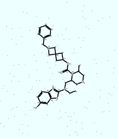 CCN(CC1COCC(C)N1C(=O)OC1CC2(C1)CN(Cc1ccccc1)C2)c1nc2ccc(F)cc2s1